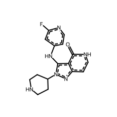 O=c1[nH]ccc2nn(C3CCNCC3)c(Nc3ccnc(F)c3)c12